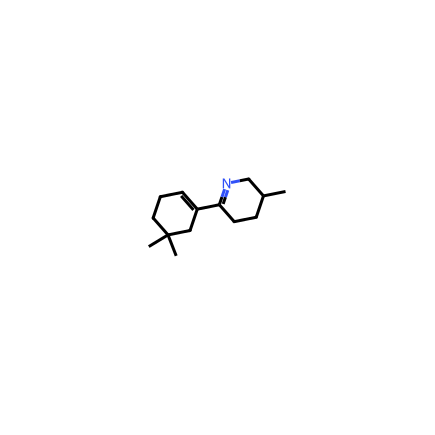 CC1CCC(C2=CCCC(C)(C)C2)=NC1